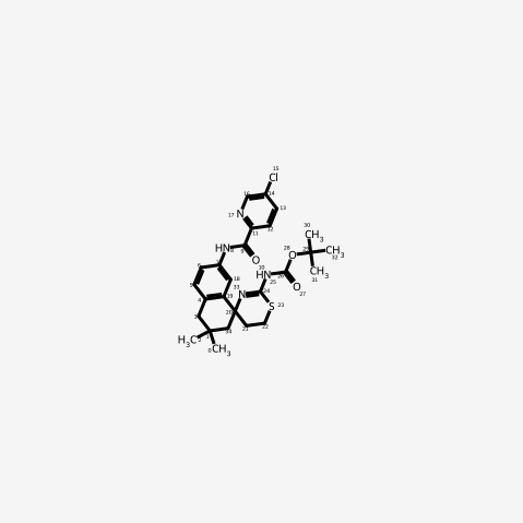 CC1(C)Cc2ccc(NC(=O)c3ccc(Cl)cn3)cc2C2(CCSC(NC(=O)OC(C)(C)C)=N2)C1